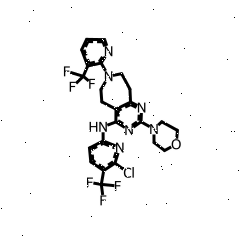 FC(F)(F)c1ccc(Nc2nc(N3CCOCC3)nc3c2CCN(c2ncccc2C(F)(F)F)CC3)nc1Cl